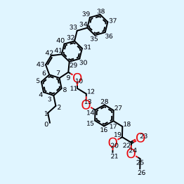 CCCc1ccc2c(c1)C(OCCOc1ccc(CC(OC)C(=O)OCC)cc1)c1ccc(Cc3ccccc3)cc1C=C2